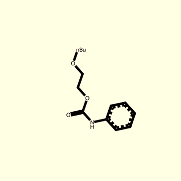 CCCCOCCOC(=O)Nc1ccccc1